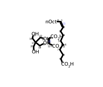 CCCCCCCC/C=C\CCCCCCCC(=O)O.O=C(O)/C=C\C(=O)O.OCC(CO)(CO)CO